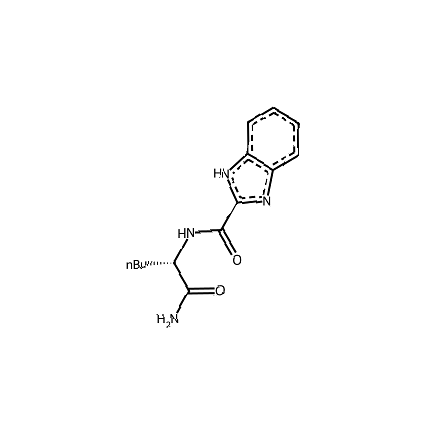 CCCC[C@H](NC(=O)c1nc2ccccc2[nH]1)C(N)=O